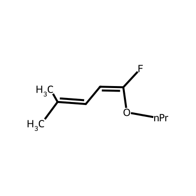 CCCO/C(F)=C\C=C(C)C